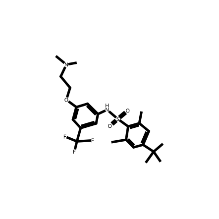 Cc1cc(C(C)(C)C)cc(C)c1S(=O)(=O)Nc1cc(OCCN(C)C)cc(C(F)(F)F)c1